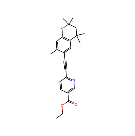 CCOC(=O)c1ccc(C#Cc2cc3c(cc2C)SC(C)(C)CC3(C)C)nc1